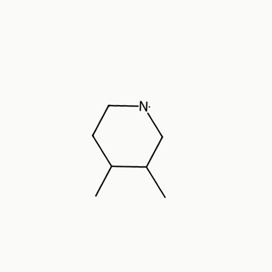 CC1CC[N]CC1C